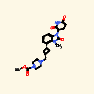 Cn1c(=O)n(C2CCC(=O)NC2=O)c2cccc([C@H]3C[C@@H](CN4CCN(C(=O)OC(C)(C)C)CC4)C3)c21